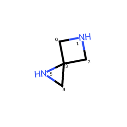 C1NCC12CN2